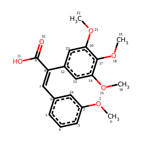 COc1cccc(/C=C(/C(=O)O)c2cc(OC)c(OC)c(OC)c2)c1